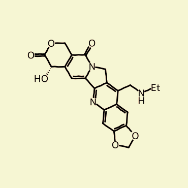 CCNCc1c2c(nc3cc4c(cc13)OCO4)-c1cc3c(c(=O)n1C2)COC(=O)[C@H]3O